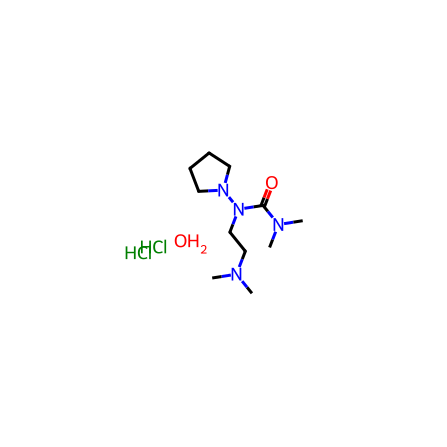 CN(C)CCN(C(=O)N(C)C)N1CCCC1.Cl.Cl.O